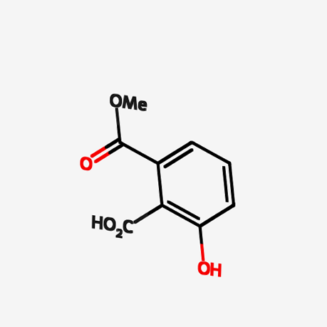 COC(=O)c1cccc(O)c1C(=O)O